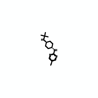 CC(C)(C)N[C@H]1CC[C@H](Nc2ncc(F)cn2)CC1